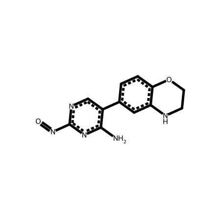 Nc1nc(N=O)ncc1-c1ccc2c(c1)NCCO2